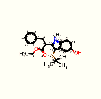 CCOC(=O)C(Cc1ccccc1)c1c(SC(C)(C)C)c2cc(O)ccc2n1C